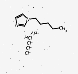 CCCCCn1ccnc1.Cl.[Al+3].[Cl-].[Cl-].[Cl-]